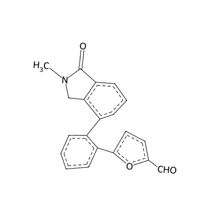 CN1Cc2c(cccc2-c2ccccc2-c2ccc(C=O)o2)C1=O